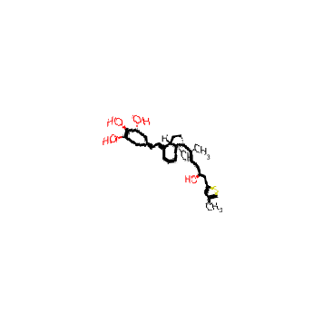 Cc1csc(CC(O)CC[C@@H](C)[C@H]2CC[C@H]3/C(=C/C=C4C[C@@H](O)C(O)[C@H](O)C4)CCC[C@]23C)c1